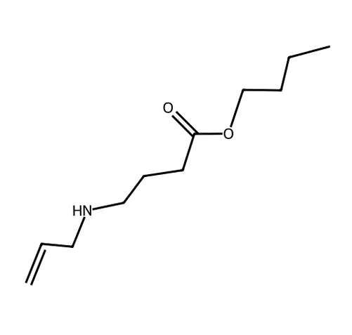 C=CCNCCCC(=O)OCCCC